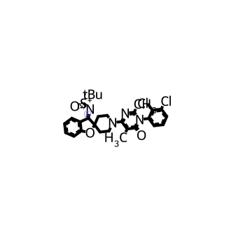 Cc1c(N2CCC3(CC2)Oc2ccccc2/C3=N\[S@+]([O-])C(C)(C)C)nc(C)n(-c2cccc(Cl)c2Cl)c1=O